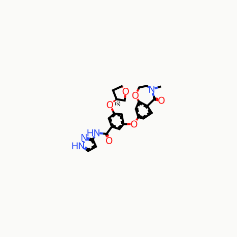 CN1CCOc2cc(Oc3cc(O[C@H]4CCOC4)cc(C(=O)Nc4cc[nH]n4)c3)ccc2C1=O